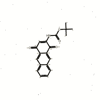 CC(C)(C)OC(=O)NC1=CC(=O)c2cc3ccccc3cc2C1=O